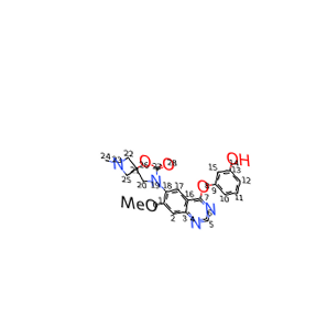 COc1cc2ncnc(Oc3cccc(O)c3)c2cc1N1CC2(CN(C)C2)OC1=O